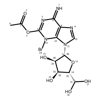 CC(=O)Oc1nc(=N)c2ncn([C@@H]3O[C@H](C(O)O)[C@@H](O)[C@H]3O)c2n1Br